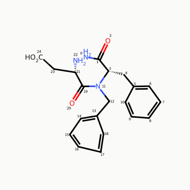 NC(=O)[C@H](Cc1ccccc1)N(Cc1ccccc1)C(=O)[C@@H](N)CC(=O)O